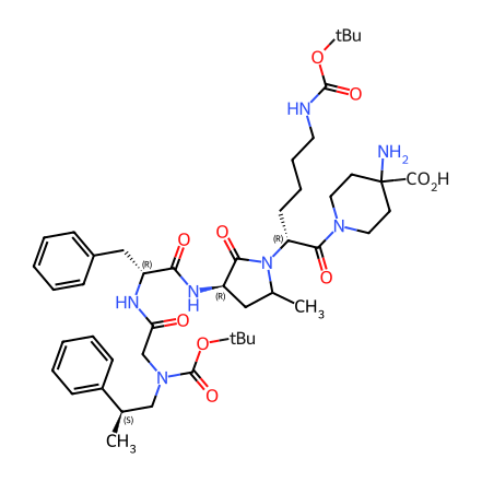 CC1C[C@@H](NC(=O)[C@@H](Cc2ccccc2)NC(=O)CN(C[C@@H](C)c2ccccc2)C(=O)OC(C)(C)C)C(=O)N1[C@H](CCCCNC(=O)OC(C)(C)C)C(=O)N1CCC(N)(C(=O)O)CC1